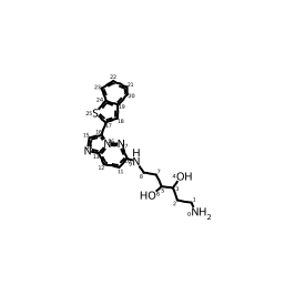 NCCC(O)C(O)CCNc1ccc2ncc(-c3cc4ccccc4s3)n2n1